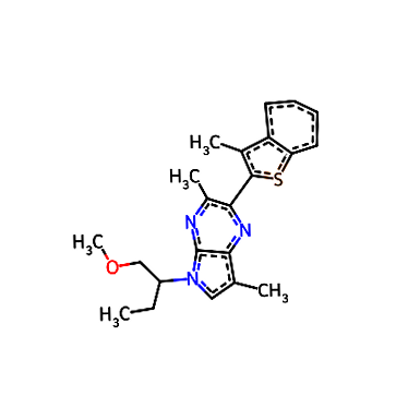 CCC(COC)n1cc(C)c2nc(-c3sc4ccccc4c3C)c(C)nc21